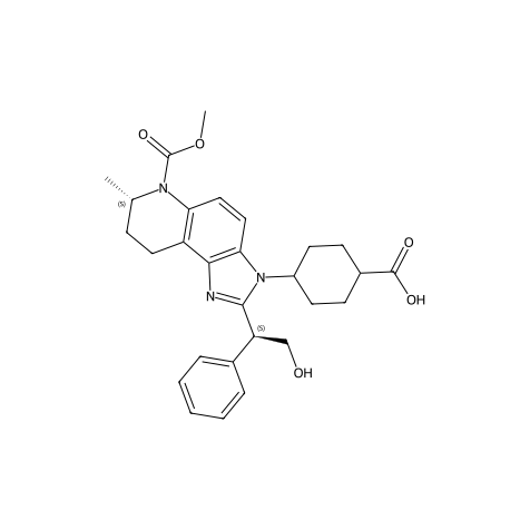 COC(=O)N1c2ccc3c(nc([C@@H](CO)c4ccccc4)n3C3CCC(C(=O)O)CC3)c2CC[C@@H]1C